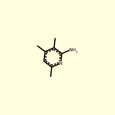 Cc1cc(C)c(C)c(N)n1